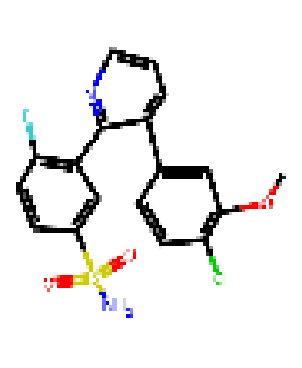 COc1cc(-c2cccnc2-c2cc(S(N)(=O)=O)ccc2F)ccc1Cl